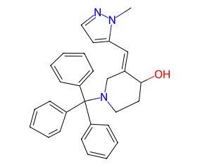 Cn1nccc1/C=C1\CN(C(c2ccccc2)(c2ccccc2)c2ccccc2)CCC1O